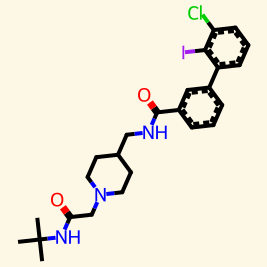 CC(C)(C)NC(=O)CN1CCC(CNC(=O)c2cccc(-c3cccc(Cl)c3I)c2)CC1